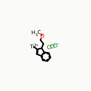 COCCC1[C]([Ti+3])=Cc2ccccc21.[Cl-].[Cl-].[Cl-]